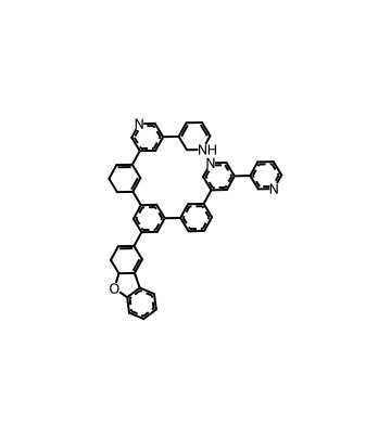 C1=CNCC(c2cncc(C3=CCCC(c4cc(C5=CCC6Oc7ccccc7C6=C5)cc(-c5cccc(-c6cncc(-c7cccnc7)c6)c5)c4)=C3)c2)=C1